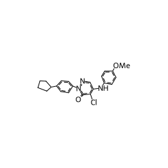 COc1ccc(Nc2cnn(-c3ccc(C4CCCC4)cc3)c(=O)c2Cl)cc1